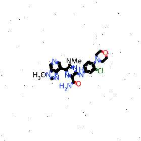 CNc1nc(Nc2ccc(N3CCOCC3)c(Cl)c2)c(C(N)=O)nc1-c1cncc2c1ncn2C